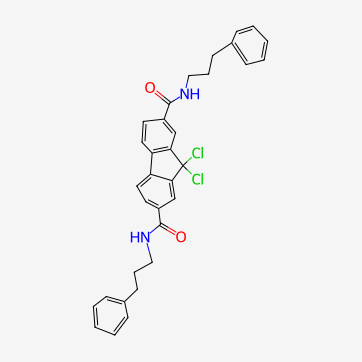 O=C(NCCCc1ccccc1)c1ccc2c(c1)C(Cl)(Cl)c1cc(C(=O)NCCCc3ccccc3)ccc1-2